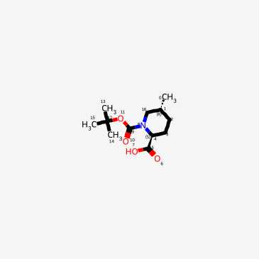 C[C@@H]1CC[C@@H](C(=O)O)N(C(=O)OC(C)(C)C)C1